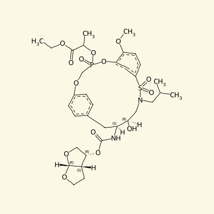 CCOC(=O)C(C)OP1(=O)COc2ccc(cc2)C[C@H](NC(=O)O[C@H]2CO[C@H]3OCC[C@H]32)[C@H](O)CN(CC(C)C)S(=O)(=O)c2ccc(OC)c(c2)O1